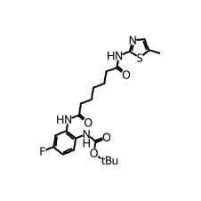 Cc1cnc(NC(=O)CCCCCC(=O)Nc2cc(F)ccc2NC(=O)OC(C)(C)C)s1